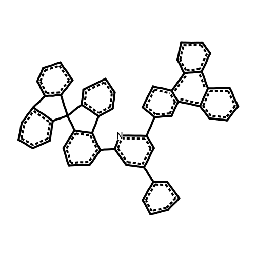 c1ccc(-c2cc(-c3ccc4c5ccccc5c5ccccc5c4c3)nc(-c3cccc4c3-c3ccccc3C43c4ccccc4-c4ccccc43)c2)cc1